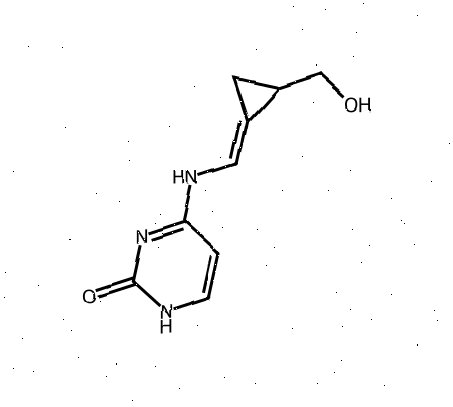 O=c1nc(NC=C2CC2CO)cc[nH]1